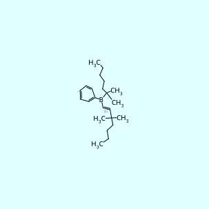 CCCCCC(C)(C)B(/C=C/C(C)(C)CCCC)c1ccccc1